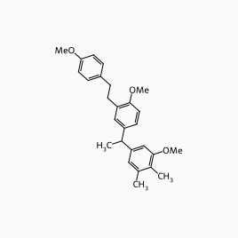 COc1ccc(CCc2cc(C(C)c3cc(C)c(C)c(OC)c3)ccc2OC)cc1